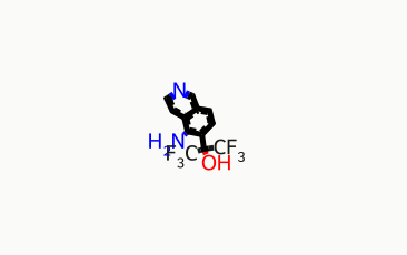 Nc1c(C(O)(C(F)(F)F)C(F)(F)F)ccc2cnccc12